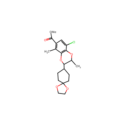 COC(=O)c1cc(Cl)c2c(c1C)OC(C1CCC3(CC1)OCCO3)C(C)O2